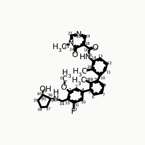 COc1cc(-c2cccc(-c3cccc(NC(=O)c4cncn(C)c4=O)c3C)c2C)cc(F)c1CN[C@H]1CCC[C@H]1O